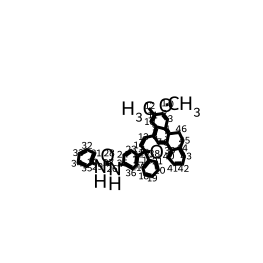 COc1cc2c3c(c4c(c2cc1C)C=CC(c1ccccc1)(c1ccc(NC(=O)Nc2ccccc2)cc1)O4)-c1ccccc1CC3